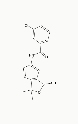 CC1(C)OB(O)c2cc(NC(=O)c3cccc(Cl)c3)ccc21